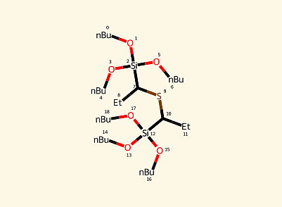 CCCCO[Si](OCCCC)(OCCCC)C(CC)SC(CC)[Si](OCCCC)(OCCCC)OCCCC